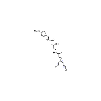 COc1ccc(CNC(=O)CC(O)CCNC(=O)COC(/C=C/F)=C/C=C/Cl)cc1